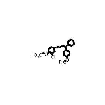 O=C(O)COc1ccc(SCC=C(c2ccccc2)c2ccc(OC(F)(F)F)cc2)cc1Cl